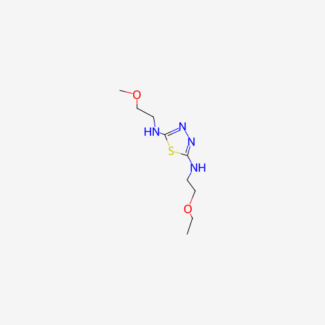 CCOCCNc1nnc(NCCOC)s1